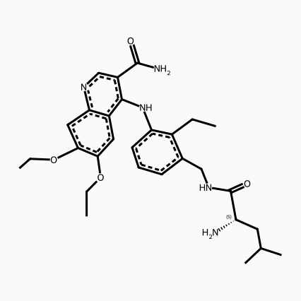 CCOc1cc2ncc(C(N)=O)c(Nc3cccc(CNC(=O)[C@@H](N)CC(C)C)c3CC)c2cc1OCC